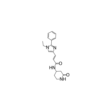 CCn1cc(C=CC(=O)NC2CCNC(=O)C2)nc1-c1ccccc1